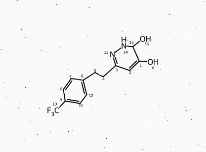 OC1=CC(CCc2ccc(C(F)(F)F)cc2)=NNC1O